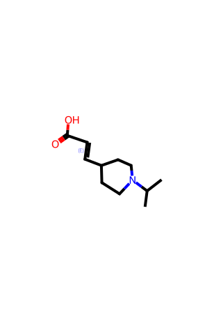 CC(C)N1CCC(/C=C/C(=O)O)CC1